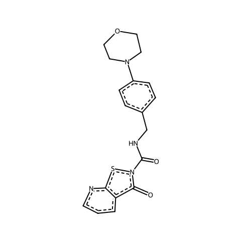 O=C(NCc1ccc(N2CCOCC2)cc1)n1sc2ncccc2c1=O